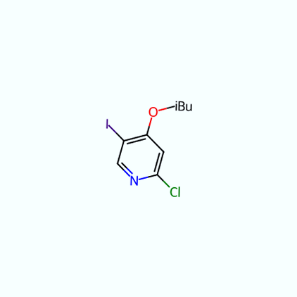 CCC(C)Oc1cc(Cl)ncc1I